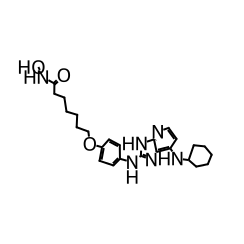 O=C(CCCCCCOc1ccc(Nc2nc3c(NC4CCCCC4)ccnc3[nH]2)cc1)NO